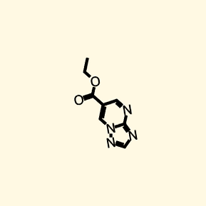 CCOC(=O)c1cnc2ncnn2c1